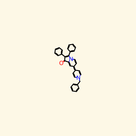 O=C1C2=CC(=C3C=CN(Cc4ccccc4)C=C3)C=CN2C(c2ccccc2)=C1c1ccccc1